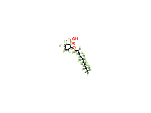 O=S(=O)(O)c1c(F)c(F)c(F)c(F)c1OC(F)=C(F)C(F)(F)C(F)(F)C(F)(F)C(F)(F)C(F)(F)C(F)(F)C(F)(F)F